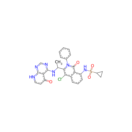 CC(Nc1ncnc2[nH]ccc(=O)c12)c1c(Cl)c2cccc(NS(=O)(=O)C3CC3)c2c(=O)n1-c1ccccc1